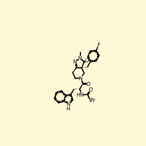 CC(C)C(=O)N[C@H](Cc1c[nH]c2ccccc12)C(=O)N1CCC2=NN(C)C(=O)[C@@]2(Cc2ccc(F)cc2)C1